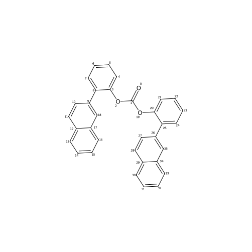 O=C(Oc1ccccc1-c1ccc2ccccc2c1)Oc1ccccc1-c1ccc2ccccc2c1